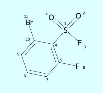 O=S(=O)(F)c1c(F)cccc1Br